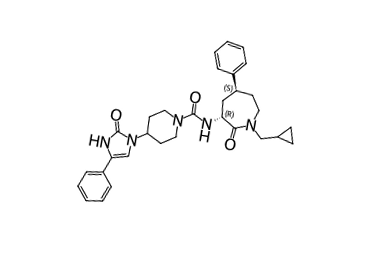 O=C(N[C@@H]1C[C@@H](c2ccccc2)CCN(CC2CC2)C1=O)N1CCC(n2cc(-c3ccccc3)[nH]c2=O)CC1